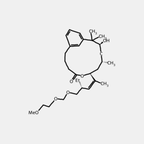 CC[C@H](/C=C(/C)[C@@H]1C[C@@H](C)C[C@H](O)C(C)(C)c2cccc(c2)CCCC(=O)O1)COCOCCOC